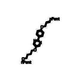 CCCCCC=CCOc1ccc(-c2ncc(OCCCCOCCCCC)cn2)cc1